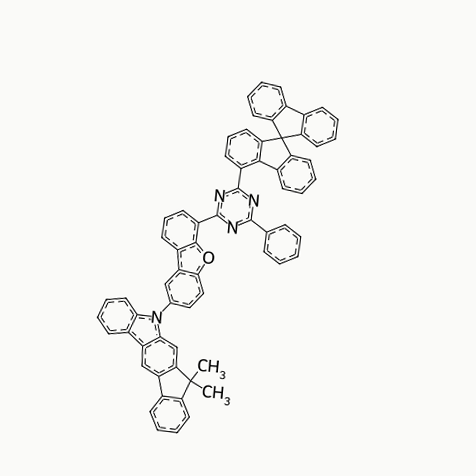 CC1(C)c2ccccc2-c2cc3c4ccccc4n(-c4ccc5oc6c(-c7nc(-c8ccccc8)nc(-c8cccc9c8-c8ccccc8C98c9ccccc9-c9ccccc98)n7)cccc6c5c4)c3cc21